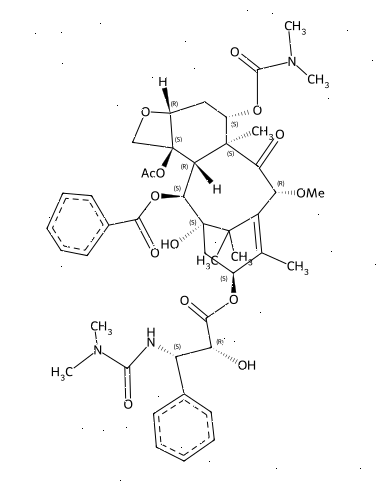 CO[C@H]1C(=O)[C@]2(C)[C@@H](OC(=O)N(C)C)C[C@H]3OC[C@@]3(OC(C)=O)[C@H]2[C@H](OC(=O)c2ccccc2)[C@]2(O)C[C@H](OC(=O)[C@H](O)[C@@H](NC(=O)N(C)C)c3ccccc3)C(C)=C1C2(C)C